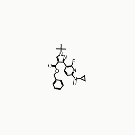 CC(C)(C)n1cc(C(=O)OCc2ccccc2)c(-c2ccc(NC3CC3)nc2F)n1